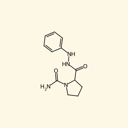 NC(=O)N1CCCC1C(=O)NNc1ccccc1